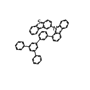 c1ccc(-c2cc(-c3ccccc3)cc(-c3cccc(-c4cccc5c6ccccc6n(-c6ccc7sc8ccccc8c7c6)c45)c3)c2)cc1